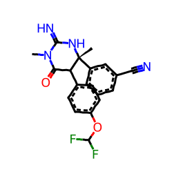 CN1C(=N)N[C@](C)(c2cccc(C#N)c2)C(c2ccc(OC(F)F)cc2)C1=O